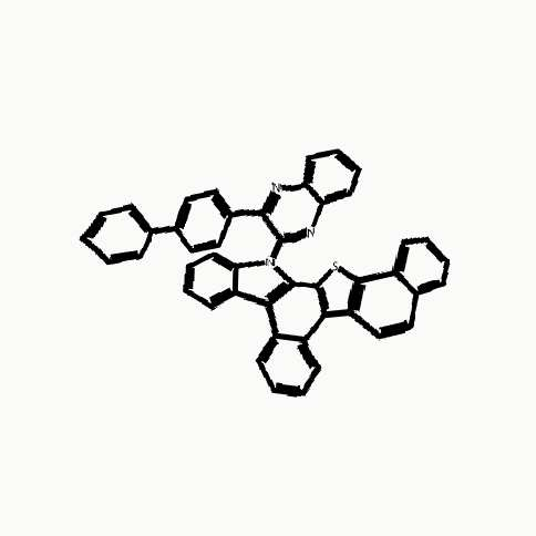 c1ccc(-c2ccc(-c3nc4ccccc4nc3-n3c4ccccc4c4c5ccccc5c5c6ccc7ccccc7c6sc5c43)cc2)cc1